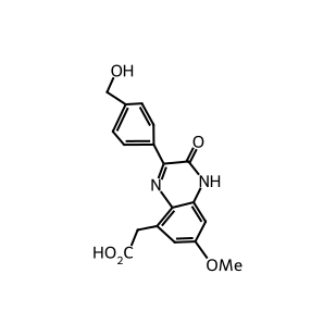 COc1cc(CC(=O)O)c2nc(-c3ccc(CO)cc3)c(=O)[nH]c2c1